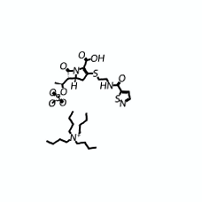 CCCC[N+](CCCC)(CCCC)CCCC.C[C@H](OS(=O)(=O)[O-])[C@@H]1C(=O)N2C(C(=O)O)=C(SCCNC(=O)c3ccns3)C[C@H]12